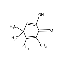 CC1=C(C)C(C)(C)C=C(O)C1=O